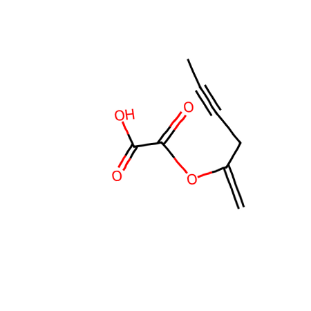 C=C(CC#CC)OC(=O)C(=O)O